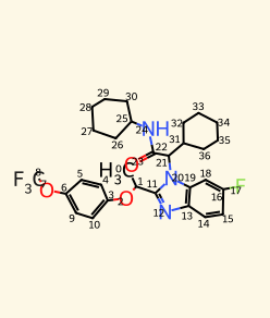 CC(Oc1ccc(OC(F)(F)F)cc1)c1nc2ccc(F)cc2n1C(C(=O)NC1CCCCC1)C1CCCCC1